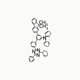 CC1(C)c2ccccc2-c2ccc(-c3cc(-c4cccc(-c5nc(-c6ccccc6)nc(C6C=CCCC6)n5)c4)cc(N(C4=CCCC=C4)C4=CCCC=C4)c3)cc21